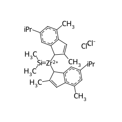 CC1=Cc2c(C)cc(C(C)C)cc2[CH]1[Zr+2]([CH]1C(C)=Cc2c(C)cc(C(C)C)cc21)=[Si](C)C.[Cl-].[Cl-]